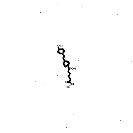 CSc1ccc(/C=C/c2ccc([C@H](O)CCCCC(=O)NO)cc2)cc1